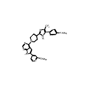 COc1ccc(-c2[nH]c(C3CCN(c4ncnc5[nH]c(-c6ccnc(OC)c6)cc45)CC3)nc2C(F)(F)F)cc1